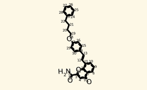 NC(=O)c1cc(=O)c2cccc(C=Cc3ccc(OCCCCc4ccccc4)cc3)c2o1